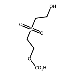 O=C(O)OCCS(=O)(=O)CCO